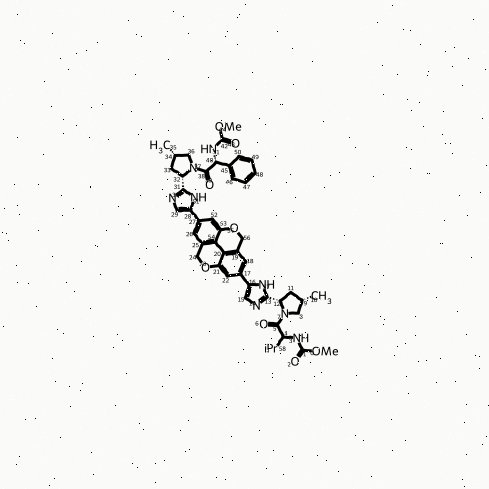 COC(=O)NC(C(=O)N1C[C@@H](C)C[C@H]1c1ncc(-c2cc3c4c(c2)OCc2cc(-c5cnc([C@@H]6C[C@H](C)CN6C(=O)[C@H](NC(=O)OC)c6ccccc6)[nH]5)cc(c2-4)OC3)[nH]1)C(C)C